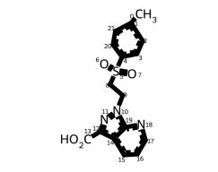 Cc1ccc(S(=O)(=O)CCn2nc(C(=O)O)c3cccnc32)cc1